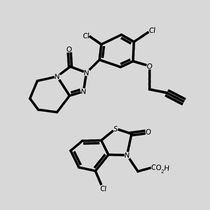 C#CCOc1cc(-n2nc3n(c2=O)CCCC3)c(Cl)cc1Cl.O=C(O)Cn1c(=O)sc2cccc(Cl)c21